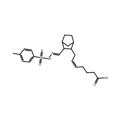 Cc1ccc(S(=O)(=O)NN=CC2C3CCC(C3)C2C/C=C\CCCC(=O)O)cc1